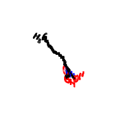 CCCCCCCCCCCCCCCCCC[N+]([O-])(CCO)CCO